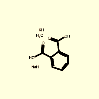 O.O=C(O)c1ccccc1C(=O)O.[KH].[NaH]